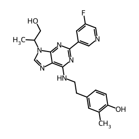 Cc1cc(CCNc2nc(-c3cncc(F)c3)nc3c2ncn3C(C)CO)ccc1O